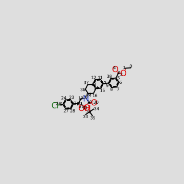 CCOC(=O)c1cccc(-c2ccc3c(c2)C[C@@H](N(C[C@H](O)c2ccc(Cl)cc2)C(=O)OC(C)(C)C)CC3)c1